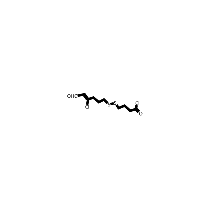 O=CC=C(Cl)CCCSSCCCC(=O)Cl